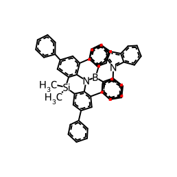 C[Si]1(C)c2cc(-c3ccccc3)cc(-c3ccccc3)c2N(B2c3ccccc3-n3c4ccccc4c4cccc2c43)c2c(-c3ccccc3)cc(-c3ccccc3)cc21